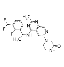 Cc1nc(N[C@H](C)c2cccc(C(F)F)c2F)c2cc(N3CCNC(=O)C3)ncc2n1